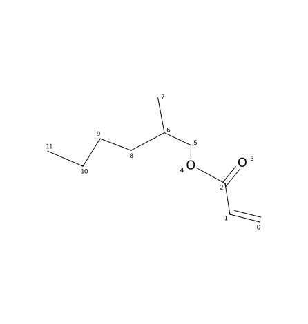 C=CC(=O)OCC(C)CCCC